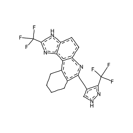 FC(F)(F)c1nc2c(ccc3nc(-c4c[nH]nc4C(F)(F)F)c4c(c32)CCCC4)[nH]1